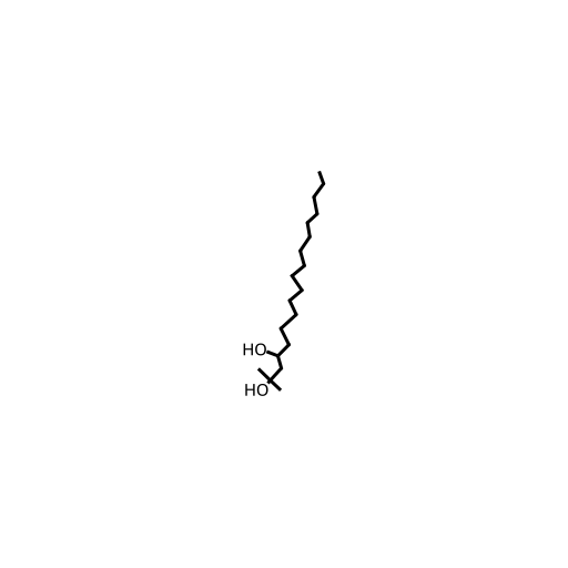 CCCCCCCCCCCCCCC(O)CC(C)(C)O